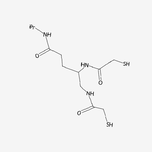 CC(C)NC(=O)CCC(CNC(=O)CS)NC(=O)CS